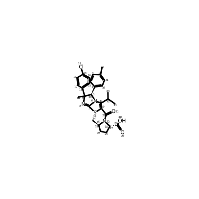 Cc1ccc([C@H]2N3C(=NC2(C)c2ccc(Cl)cc2)SC(C(=O)N2[C@H](C)CC[C@H]2C(=O)O)=C3C(C)C)cc1